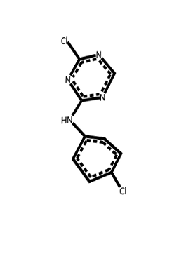 Clc1ccc(Nc2ncnc(Cl)n2)cc1